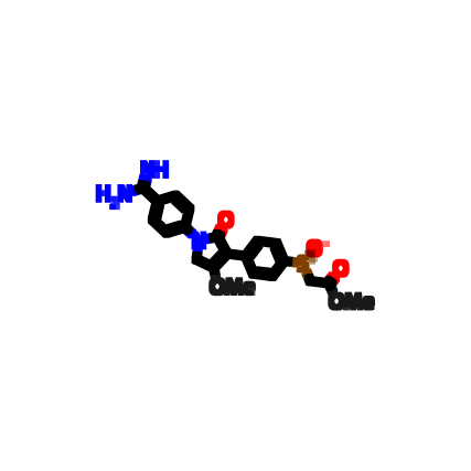 COC(=O)C[S+]([O-])c1ccc(C2=C(OC)CN(c3ccc(C(=N)N)cc3)C2=O)cc1